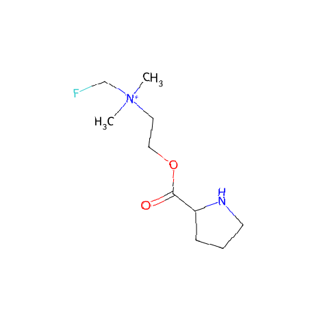 C[N+](C)(CF)CCOC(=O)C1CCCN1